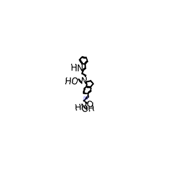 O=C(/C=C/c1ccc2c(c1)CCC2N(CCO)CCc1cc2ccccc2[nH]1)NO